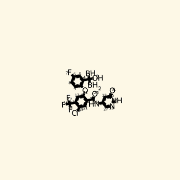 BC(B)(O)c1cc(F)ccc1Oc1cc(C(F)(F)F)c(Cl)cc1C(=O)Nc1cn[nH]c(=O)c1